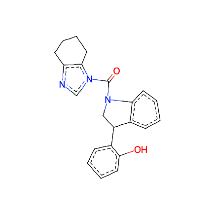 O=C(N1CC(c2ccccc2O)c2ccccc21)n1cnc2c1CCCC2